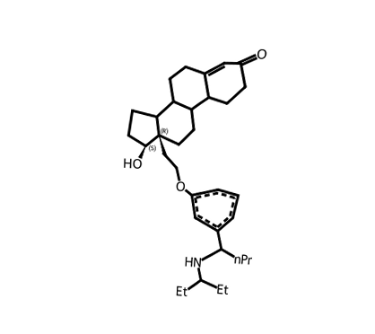 CCCC(NC(CC)CC)c1cccc(OCC[C@]23CCC4C5CCC(=O)C=C5CCC4C2CC[C@@H]3O)c1